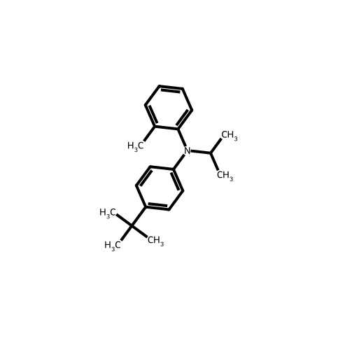 Cc1ccccc1N(c1ccc(C(C)(C)C)cc1)C(C)C